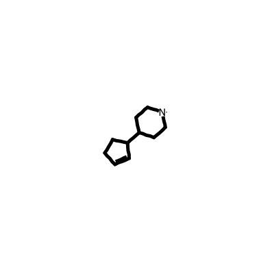 C1=CC(C2CC[N]CC2)CC1